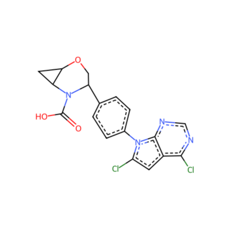 O=C(O)N1C(c2ccc(-n3c(Cl)cc4c(Cl)ncnc43)cc2)COC2CC21